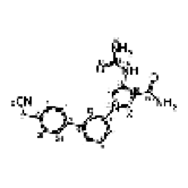 N#CCc1ccc(-c2cccc(-n3cc(NC(N)=O)c(C(N)=O)n3)c2)cc1